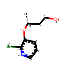 C[C@H](CCO)Oc1cccnc1Br